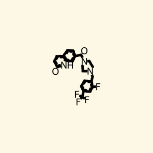 O=C(c1ccc2ccc(=O)[nH]c2c1)N1CCN(Cc2ccc(C(F)(F)F)cc2F)CC1